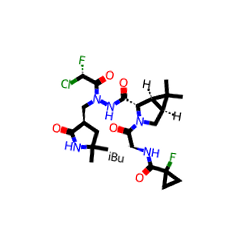 CC[C@H](C)[C@H](NC(=O)C1(F)CC1)C(=O)N1C[C@H]2[C@@H]([C@H]1C(=O)NN(C[C@H]1CC(C)(C)NC1=O)C(=O)[C@@H](F)Cl)C2(C)C